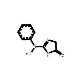 CN(C1=NCC(=O)N1)c1ccccc1